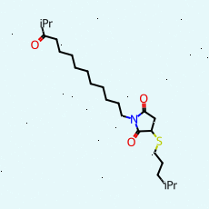 CC(C)CCCSC1CC(=O)N(CCCCCCCCCCC(=O)C(C)C)C1=O